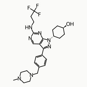 CN1CCN(Cc2ccc(-c3nn([C@H]4CC[C@H](O)CC4)c4nc(NCCC(F)(F)F)ncc34)cc2)CC1